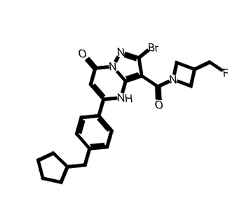 O=C(c1c(Br)nn2c(=O)cc(-c3ccc(CC4CCCC4)cc3)[nH]c12)N1CC(CF)C1